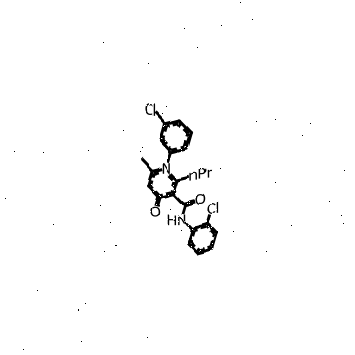 CCCc1c(C(=O)Nc2ccccc2Cl)c(=O)cc(C)n1-c1cccc(Cl)c1